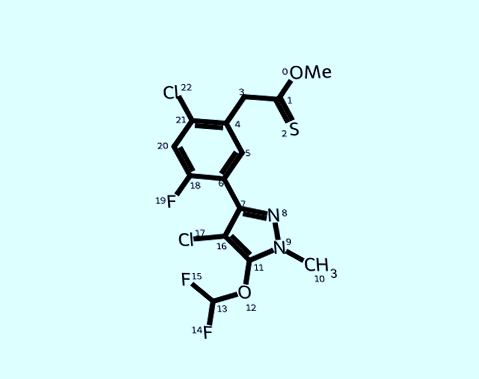 COC(=S)Cc1cc(-c2nn(C)c(OC(F)F)c2Cl)c(F)cc1Cl